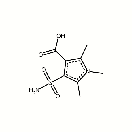 Cc1c(C(=O)O)c(S(N)(=O)=O)c(C)n1C